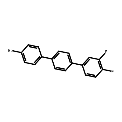 CCc1ccc(-c2ccc(-c3ccc(F)c(F)c3)cc2)cc1